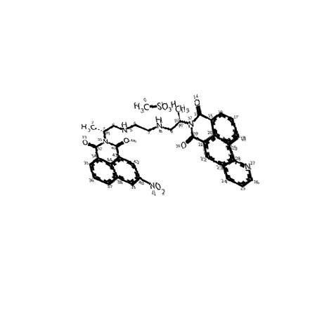 CS(=O)(=O)O.C[C@H](CNCCNC[C@@H](C)N1C(=O)c2cccc3c2c(cc2cccnc23)C1=O)N1C(=O)c2cccc3cc([N+](=O)[O-])cc(c23)C1=O